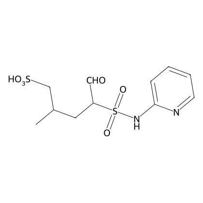 CC(CC(C=O)S(=O)(=O)Nc1ccccn1)CS(=O)(=O)O